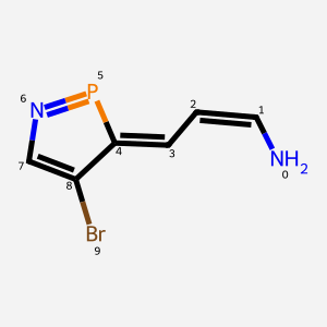 N/C=C\C=C1/P=NC=C1Br